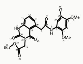 COc1cc(OC)c(NC(=O)Cc2cccc3[nH]c(=O)n(CC(=O)OC(C)(C)C)c(=O)c23)cc1Cl